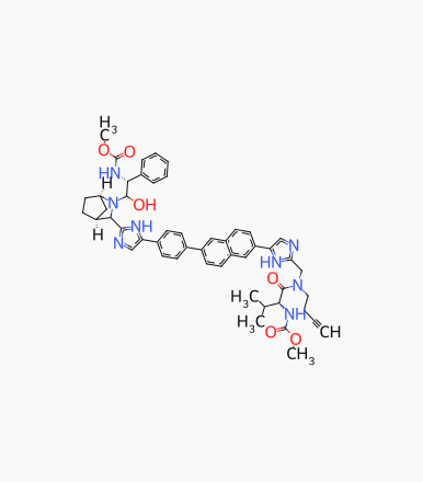 C#CCCN(Cc1ncc(-c2ccc3cc(-c4ccc(-c5cnc(C6[C@H]7CC[C@H](C7)N6C(O)[C@H](NC(=O)OC)c6ccccc6)[nH]5)cc4)ccc3c2)[nH]1)C(=O)[C@@H](NC(=O)OC)C(C)C